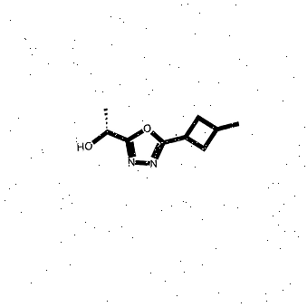 CC1CC(c2nnc([C@@H](C)O)o2)C1